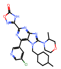 CC1CCC(Cn2c(N3CCOCC3C)nc3nc(-c4noc(=O)[nH]4)nc(-c4cncc(Cl)c4)c32)CC1